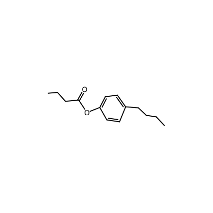 CCCCc1ccc(OC(=O)CCC)cc1